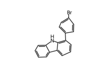 Brc1ccc(-c2cccc3c2[nH]c2ccccc23)cc1